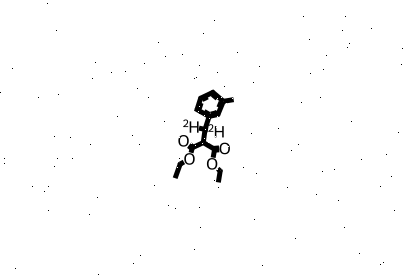 [2H]C([2H])(c1cccc(C)c1)C(C(=O)OCC)C(=O)OCC